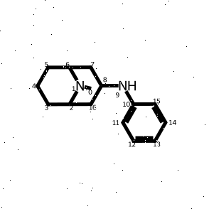 CN1C2CCCC1CC(Nc1ccccc1)C2